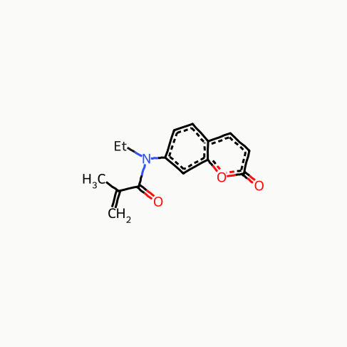 C=C(C)C(=O)N(CC)c1ccc2ccc(=O)oc2c1